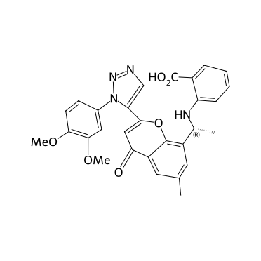 COc1ccc(-n2nncc2-c2cc(=O)c3cc(C)cc([C@@H](C)Nc4ccccc4C(=O)O)c3o2)cc1OC